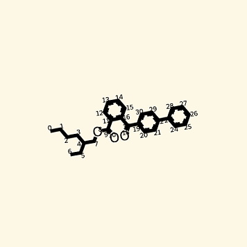 CCCCC(CC)COC(=O)c1ccccc1C(=O)c1ccc(-c2ccccc2)cc1